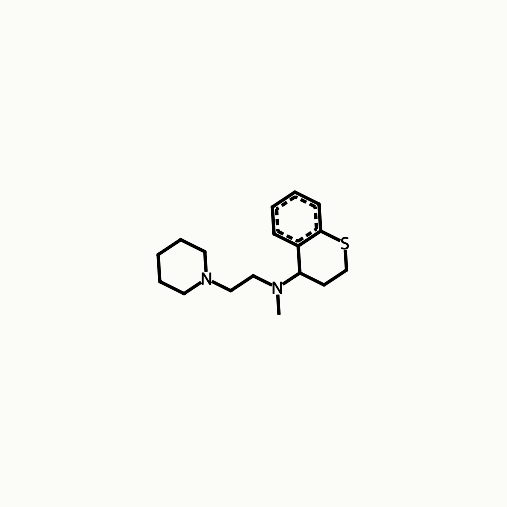 CN(CCN1CCCCC1)C1CCSc2ccccc21